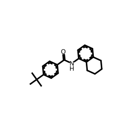 CC(C)(C)c1ccc(C(=O)Nc2cccc3c2CCCC3)cc1